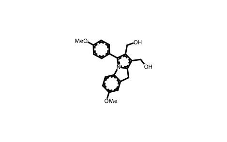 COc1ccc(-c2c(CO)c(CO)c3n2-c2ccc(OC)cc2C3)cc1